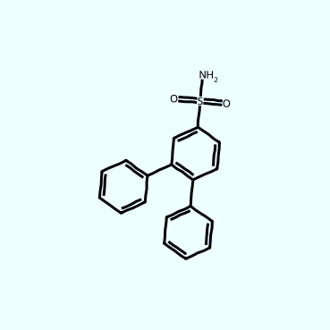 NS(=O)(=O)c1ccc(-c2ccccc2)c(-c2ccccc2)c1